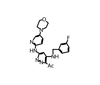 CC(=O)c1nnc(Nc2ccc(N3CCOCC3)cn2)cc1NCc1cccc(F)c1